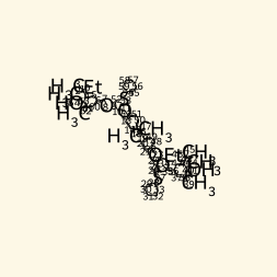 CCC(C)(C)c1cc(COC(COc2ccc(C(C)(C)c3ccc(OCC(CSC4CCCCC4)OCc4cc(C)c(O)c(C(C)(C)CC)c4)cc3)cc2)CSC2CCCCC2)cc(C)c1O